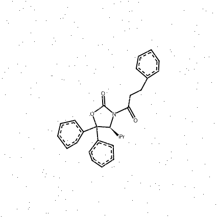 CC(C)[C@@H]1N(C(=O)CCc2ccccc2)C(=O)OC1(c1ccccc1)c1ccccc1